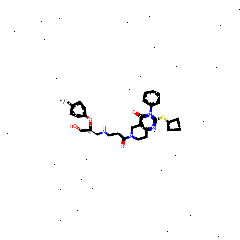 O=C(CCNC[C@@H](CO)Oc1ccc(C(F)(F)F)cc1)N1CCc2nc(SC3CCC3)n(-c3ccccc3)c(=O)c2C1